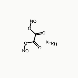 O=NOC(=O)C(=O)ON=O.[KH].[KH]